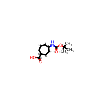 CC(C)(C)OC(=O)NC1CCCC(C(=O)O)CC1